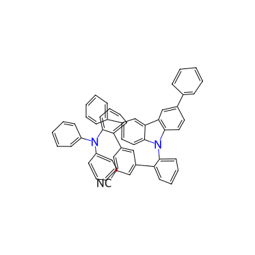 N#Cc1cc(-c2ccccc2N(c2ccccc2)c2ccccc2)cc(-c2ccccc2-n2c3ccc(-c4ccccc4)cc3c3cc(-c4ccccc4)ccc32)c1